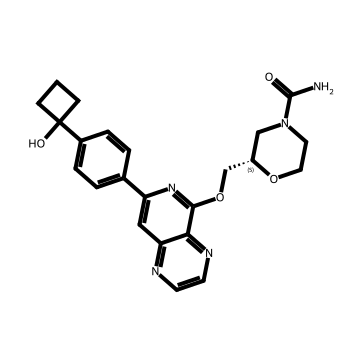 NC(=O)N1CCO[C@H](COc2nc(-c3ccc(C4(O)CCC4)cc3)cc3nccnc23)C1